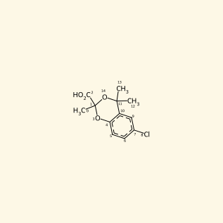 CC1(C(=O)O)Oc2ccc(Cl)cc2C(C)(C)O1